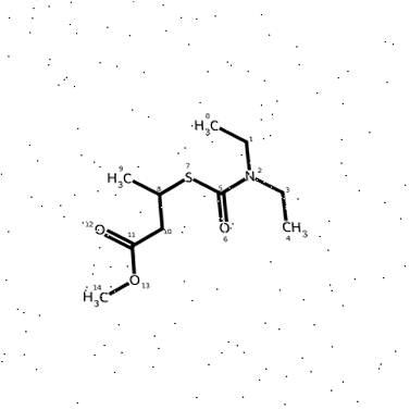 CCN(CC)C(=O)SC(C)CC(=O)OC